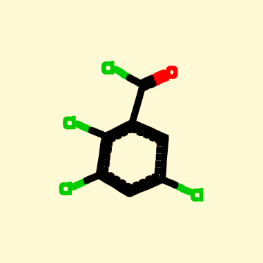 O=C(Cl)c1cc(Cl)cc(Cl)c1Cl